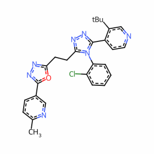 Cc1ccc(-c2nnc(CCc3nnc(-c4ccncc4C(C)(C)C)n3-c3ccccc3Cl)o2)cn1